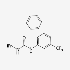 CC(C)NC(=O)Nc1cccc(C(F)(F)F)c1.c1ccccc1